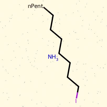 CCCCCCCCCCCCI.N